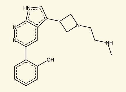 CNCCN1CC(c2c[nH]c3nnc(-c4ccccc4O)cc23)C1